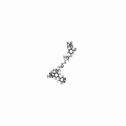 Fc1cc(CNCCCCOCCNc2cc(-c3ccnnc3)cc3[nH]ncc23)ccc1OC(F)(F)F